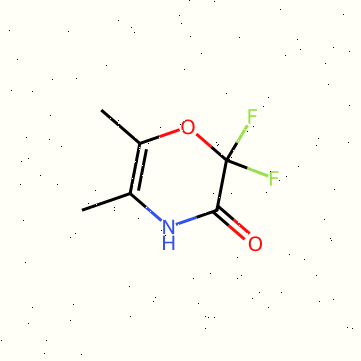 CC1=C(C)OC(F)(F)C(=O)N1